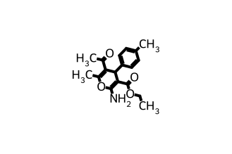 CCOC(=O)C1=C(N)OC(C)=C(C(C)=O)C1c1ccc(C)cc1